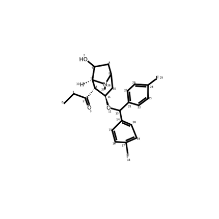 CCC(=O)[C@@H]1[C@H]2C(O)CC(C[C@H]1OC(c1ccc(F)cc1)c1ccc(F)cc1)N2C